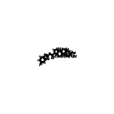 CC[C@@]1(O)CC[C@H]2[C@H](CCC3[C@@H]2CC[C@]2(C)[C@@H](C(=O)Cn4nc5ccc(F)cc5n4)CC[C@@H]32)C1